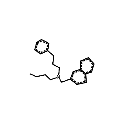 CCCCN(CCCc1ccccc1)Cc1ccc2ccccc2c1